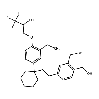 CCc1cc(C2(CCc3ccc(CO)c(CO)c3)CCCCC2)ccc1OCC(O)C(F)(F)F